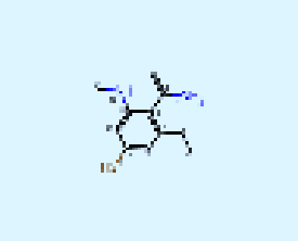 C=C(N)c1c(CC)cc(S)cc1NC